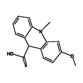 COc1ccc2c(c1)N(C)c1ccccc1C2C(O)=S